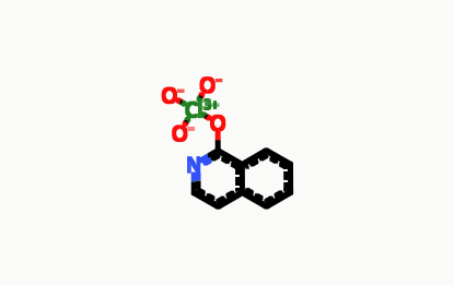 [O-][Cl+3]([O-])([O-])Oc1nccc2ccccc12